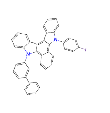 Ic1ccc(-n2c3ccccc3c3c4c5ccccc5n(-c5cccc(-c6ccccc6)c5)c4c4ccccc4c32)cc1